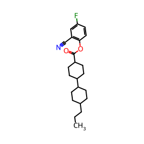 CCCC1CCC(C2CCC(C(=O)Oc3ccc(F)cc3C#N)CC2)CC1